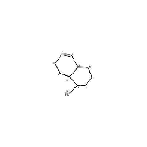 CCC1CCCC2[C]=CCCC21